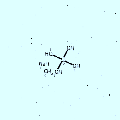 C.O[Si](O)(O)O.[NaH]